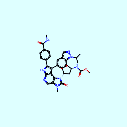 CNC(=O)c1ccc(-c2[nH]c3ncc4c(c3c2-c2ccc3c(cnn3C(C)C)c2)n([C@@H]2CC[C@@H](NC(=O)OC)C2)c(=O)n4C)cc1